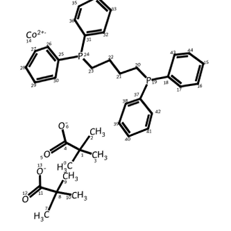 CC(C)(C)C(=O)[O-].CC(C)(C)C(=O)[O-].[Co+2].c1ccc(P(CCCCP(c2ccccc2)c2ccccc2)c2ccccc2)cc1